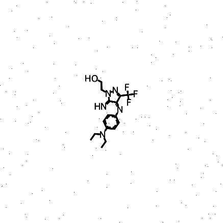 CCN(CC)c1ccc(N=C2C(=N)N(CCO)N=C2C(F)(F)F)cc1